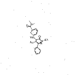 CCn1nc(-c2ccccc2)c(C(C)=O)c(Nc2cccc(C(=O)N(C)C)c2)c1=O